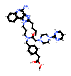 CCCCc1nc2c(N)nc3ccccc3c2n1CCCN(Cc1ccc(CC(=O)OC)cc1)C(=O)CN1CCN(c2ncccn2)CC1